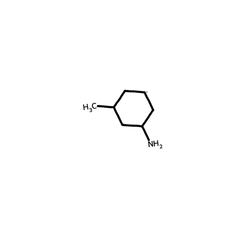 CC1C[CH]CC(N)C1